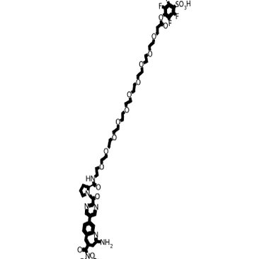 CCCN(OCC)C(=O)C1=Cc2ccc(-c3cnc(C(=O)N4CCC[C@H]4C(=O)NCCOCCOCCOCCOCCOCCOCCOCCOCCOCCOCCC(=O)Oc4c(F)c(F)c(S(=O)(=O)O)c(F)c4F)nc3)cc2N=C(N)C1